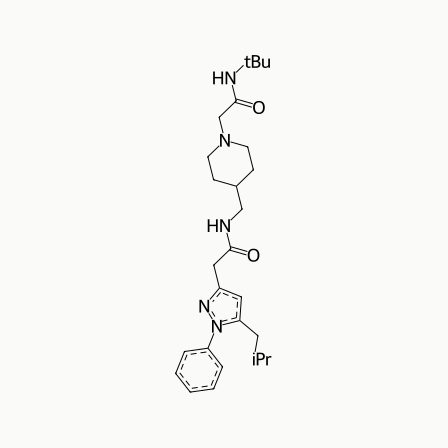 CC(C)Cc1cc(CC(=O)NCC2CCN(CC(=O)NC(C)(C)C)CC2)nn1-c1ccccc1